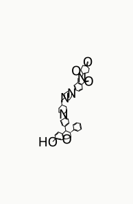 O=C1CCC(N2Cc3cc(N4CCN(CC5CCN(c6ccc(C7c8ccc(O)cc8OC[C@@H]7c7ccccc7)cc6)CC5)CC4)ccc3C2=O)C(=O)C1